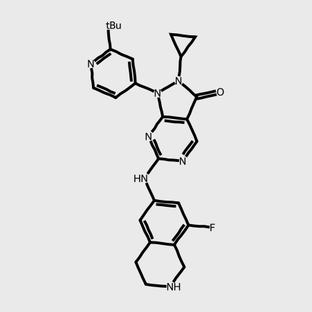 CC(C)(C)c1cc(-n2c3nc(Nc4cc(F)c5c(c4)CCNC5)ncc3c(=O)n2C2CC2)ccn1